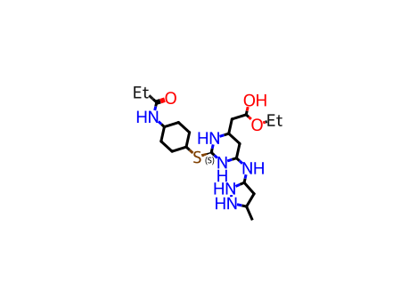 CCOC(O)CC1CC(NC2CC(C)NN2)N[C@@H](SC2CCC(NC(=O)CC)CC2)N1